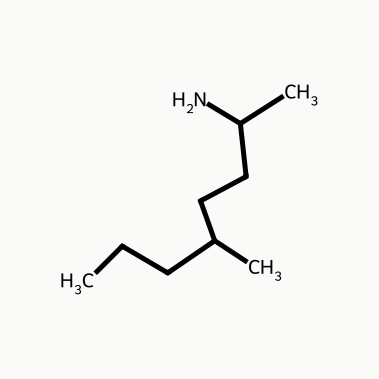 CCCC(C)CCC(C)N